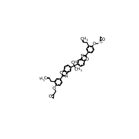 C=CCc1cc(-c2nc3cc(C(C)(C)c4ccc5oc(-c6ccc(OC[C@@H]7CO7)c(CC=C)c6)nc5c4)ccc3o2)ccc1OCC1CO1